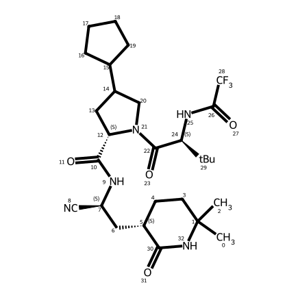 CC1(C)CC[C@@H](C[C@@H](C#N)NC(=O)[C@@H]2CC(C3CCCC3)CN2C(=O)[C@@H](NC(=O)C(F)(F)F)C(C)(C)C)C(=O)N1